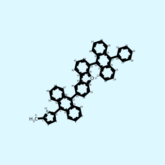 Cc1ccc(-c2c3ccccc3c(-c3ccc4oc5c(-c6c7ccccc7c(-c7ccccc7)c7ccccc67)cccc5c4c3)c3ccccc23)s1